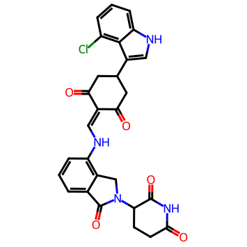 O=C1CCC(N2Cc3c(NC=C4C(=O)CC(c5c[nH]c6cccc(Cl)c56)CC4=O)cccc3C2=O)C(=O)N1